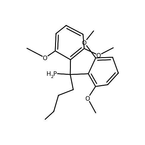 CCCCC(P)(c1c(OC)cccc1OC)c1c(OC)cccc1OC